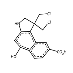 O=C(O)c1ccc2c(O)cc3c(c2c1)C(CCl)(CCl)CN3